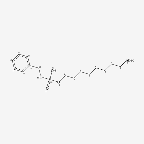 CCCCCCCCCCCCCCCCCCOP(=O)(O)OCc1ccccc1